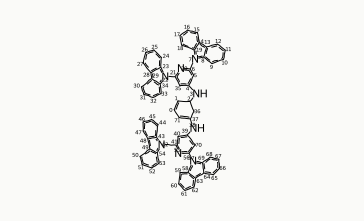 C1=CC(Nc2cc(-n3c4ccccc4c4ccccc43)nc(-n3c4ccccc4c4ccccc43)c2)CC(Nc2cc(-n3c4ccccc4c4ccccc43)nc(-n3c4ccccc4c4ccccc43)c2)=C1